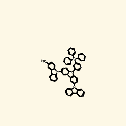 N#Cc1ccc2c(c1)c1ccccc1n2-c1ccc2c(c1)c1cc(-n3c4ccccc4c4ccccc43)ccc1n2-c1cccc([Si](c2ccccc2)(c2ccccc2)c2ccccc2)c1